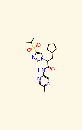 Cc1cnc(NC(=O)C(CC2CCCC2)n2cnc(S(=O)(=O)C(C)C)c2)cn1